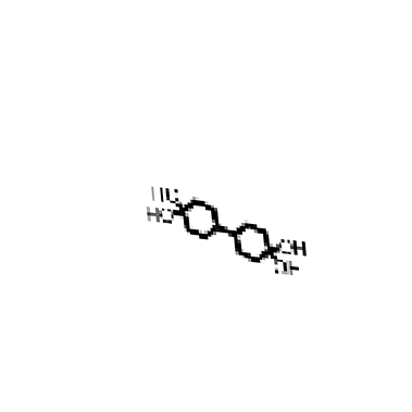 OC1(O)CCC(C2CCC(O)(O)CC2)CC1